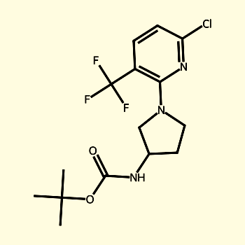 CC(C)(C)OC(=O)NC1CCN(c2nc(Cl)ccc2C(F)(F)F)C1